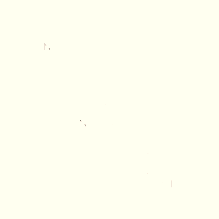 CNc1ccc(-c2nc3ccc(OSC)cc3s2)cc1